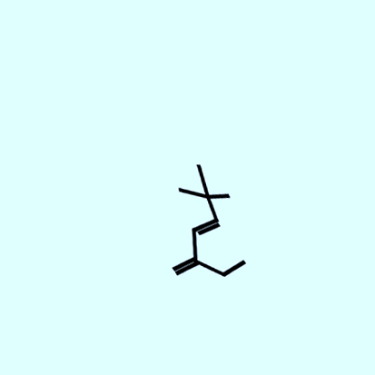 C=C(C=CC(C)(C)C)CC